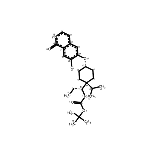 CC[C@@H](NC(=O)OC(C)(C)C)[C@]1(C(C)C)CC[C@H](Oc2cc3cc[nH]c(=O)c3cc2Cl)CC1